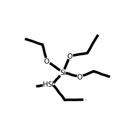 [CH2]C[SiH](C)[Si](OCC)(OCC)OCC